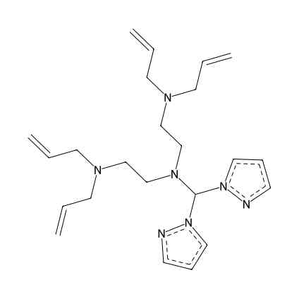 C=CCN(CC=C)CCN(CCN(CC=C)CC=C)C(n1cccn1)n1cccn1